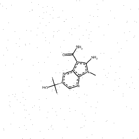 Cn1c(N)c(C(N)=O)c2nc(C(C)(C)O)cnc21